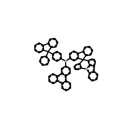 c1ccc(C2(c3ccc(N(c4ccc5c(c4)C4(c6ccccc6-5)c5ccccc5-n5c6ccccc6c6cccc4c65)c4ccc5c6ccccc6c6ccccc6c5c4)cc3)c3ccccc3-c3ccccc32)cc1